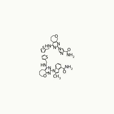 Cc1cc2c(C(N)=O)cccc2n1-c1nc(NCc2cccs2)c2c(n1)OCCCC2.NC(=O)c1cn(-c2nc3c(c(NCc4cccs4)n2)CCCOC3)cn1